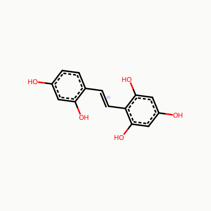 Oc1ccc(/C=C/c2c(O)cc(O)cc2O)c(O)c1